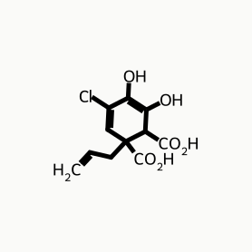 C=CCC1(C(=O)O)C=C(Cl)C(O)=C(O)C1C(=O)O